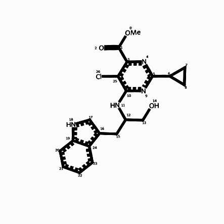 COC(=O)c1nc(C2CC2)nc(NC(CO)Cc2c[nH]c3ccccc23)c1Cl